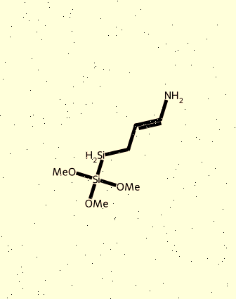 CO[Si](OC)(OC)[SiH2]CC=CN